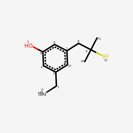 CC(C)(C)Cc1cc(O)cc(CC(C)(C)S)c1